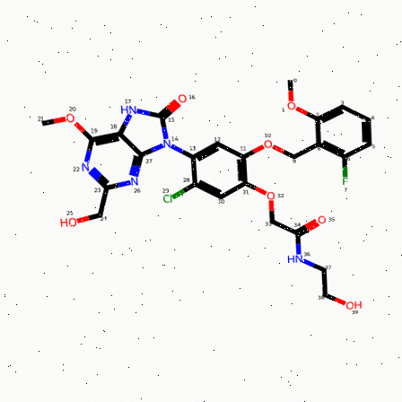 COc1cccc(F)c1COc1cc(-n2c(=O)[nH]c3c(OC)nc(CO)nc32)c(Cl)cc1OCC(=O)NCCO